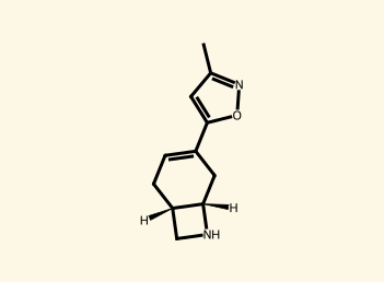 Cc1cc(C2=CC[C@H]3CN[C@H]3C2)on1